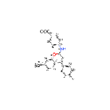 Cc1ccc(C(CC(=O)Nc2ccc(C(=O)[O-])cc2)c2ccc(C)cc2)cc1.[Na+]